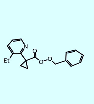 CCc1cccnc1C1(C(=O)OOCc2ccccc2)CC1